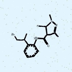 CC1=NN(C)C(F)C1C(=O)Nc1ccccc1C(C)CC(C)C